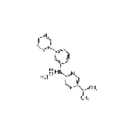 CC(C)c1ccc(Nc2cccc(-c3cnccn3)n2)nc1.Cl.Cl